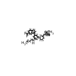 COCCNc1cc(-c2cnc3ccc(C(F)F)nn23)cc(N2CCCC(CNS(C)(=O)=O)C2)n1